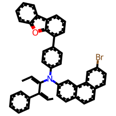 C/C=C(\C(=C/C)N(c1ccc(-c2cccc3c2oc2ccccc23)cc1)c1ccc2ccc3ccc(Br)cc3c2c1)c1ccccc1